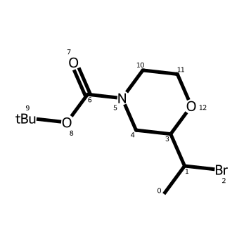 CC(Br)C1CN(C(=O)OC(C)(C)C)CCO1